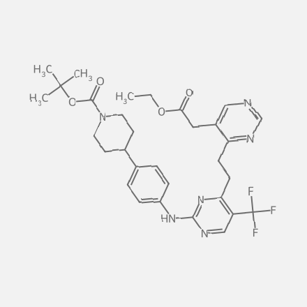 CCOC(=O)Cc1cncnc1CCc1nc(Nc2ccc(C3CCN(C(=O)OC(C)(C)C)CC3)cc2)ncc1C(F)(F)F